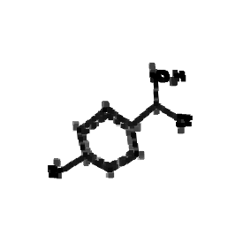 CCC(c1ccc(Br)cc1)S(=O)(=O)O